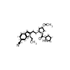 CCn1c(CC[C@H]2C[C@H](OC)CN2C(=O)[C@H]2CCCN2)cc2ccc(C#N)cc21